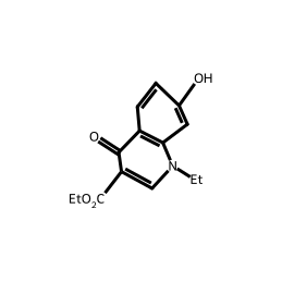 CCOC(=O)c1cn(CC)c2cc(O)ccc2c1=O